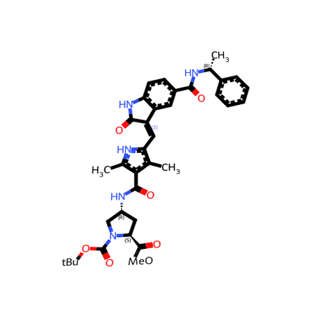 COC(=O)[C@@H]1C[C@@H](NC(=O)c2c(C)[nH]c(/C=C3\C(=O)Nc4ccc(C(=O)N[C@H](C)c5ccccc5)cc43)c2C)CN1C(=O)OC(C)(C)C